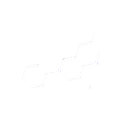 Cc1ccccc1-n1cc(C(C)C)c2ncc(F)cc2c1=O